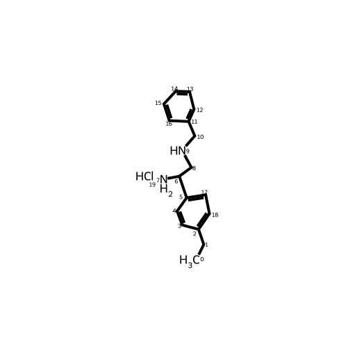 CCc1ccc(C(N)CNCc2ccccc2)cc1.Cl